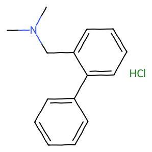 CN(C)Cc1ccccc1-c1ccccc1.Cl